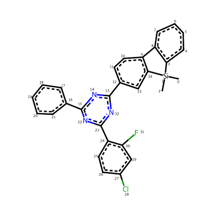 C[Si]1(C)c2ccccc2-c2ccc(-c3nc(-c4ccccc4)nc(-c4ccc(Cl)cc4F)n3)cc21